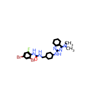 CN(C)c1nc(NC2CCC(CNC(=O)Nc3c(F)cc(Br)cc3Br)CC2)nc2c1CCCC2